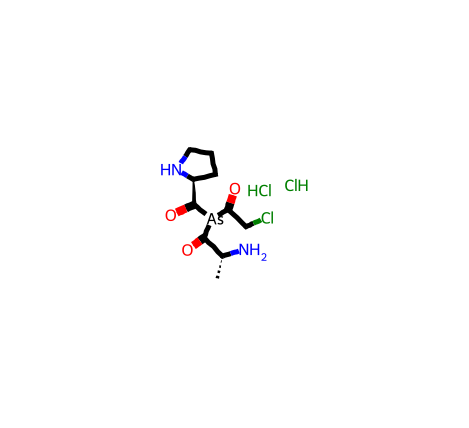 C[C@@H](N)C(=O)[As](C(=O)CCl)C(=O)[C@@H]1CCCN1.Cl.Cl